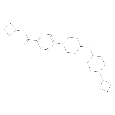 O=C(NC1CCC1)c1cnc(N2CCC(OC3CCN(C4CCC4)CC3)CC2)cn1